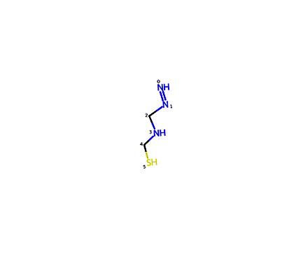 N=NCNCS